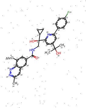 COc1cc(C(=O)NC[C@@](O)(c2cc(C(C)(C)O)cc(-c3ccc(F)cc3)n2)C2CC2)cc2cc(C)nnc12